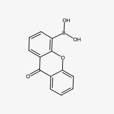 O=c1c2ccccc2oc2c(B(O)O)cccc12